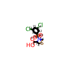 O=C(O)C1CSCN1S(=O)(=O)c1cc(Cl)cc(Cl)c1